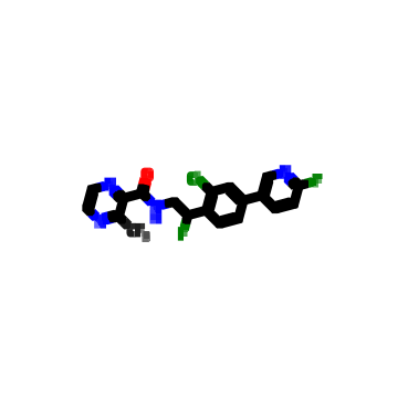 O=C(NCC(F)c1ccc(-c2ccc(F)nc2)cc1Cl)c1nccnc1C(F)(F)F